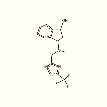 CN(Cc1nc(C(F)(F)F)c[nH]1)C1CC(O)c2ccccc21